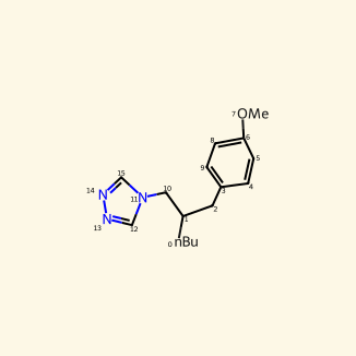 CCCCC(Cc1ccc(OC)cc1)Cn1cnnc1